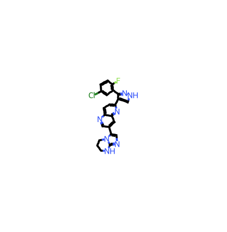 Fc1ccc(Cl)cc1-c1n[nH]cc1-c1ccc2ncc(-c3cnc4n3CCCN4)cc2n1